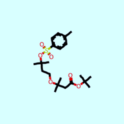 Cc1ccc(S(=O)(=O)OC(C)(C)CCOC(C)(C)CC(=O)OC(C)(C)C)cc1